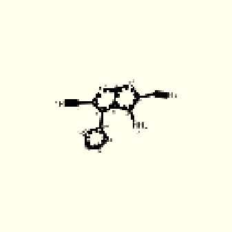 N#Cc1sc2sc(C#N)c(-c3cccs3)c2c1N